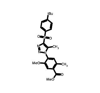 COC(=O)c1cc(OC)c(-n2nnc(S(=O)(=O)c3ccc(C(C)(C)C)cc3)c2C)cc1C